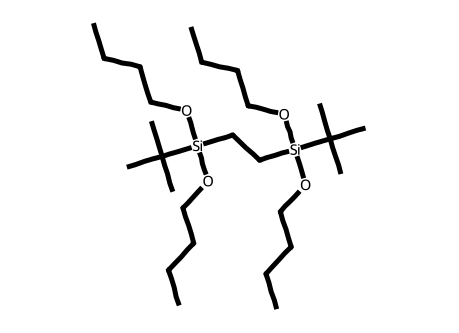 CCCCO[Si](CC[Si](OCCCC)(OCCCC)C(C)(C)C)(OCCCC)C(C)(C)C